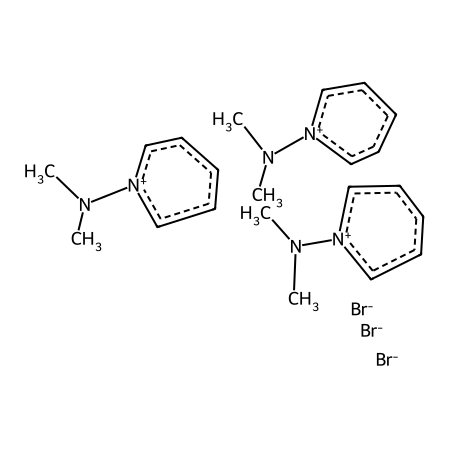 CN(C)[n+]1ccccc1.CN(C)[n+]1ccccc1.CN(C)[n+]1ccccc1.[Br-].[Br-].[Br-]